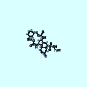 CC(C)CNS(=O)(=O)c1cc2c(c3cnc(Cl)cc13)C(NC(=O)OC(C)(C)C)CC2NC(=O)OCc1ccccc1